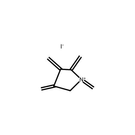 C=C1C[N+](=C)C(=C)C1=C.[I-]